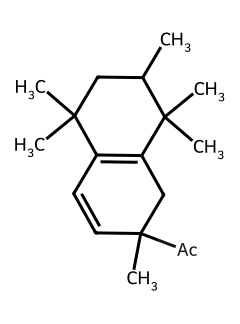 CC(=O)C1(C)C=CC2=C(C1)C(C)(C)C(C)CC2(C)C